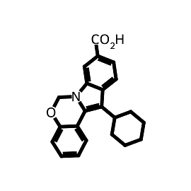 O=C(O)c1ccc2c(C3CCCCC3)c3n(c2c1)COc1ccccc1-3